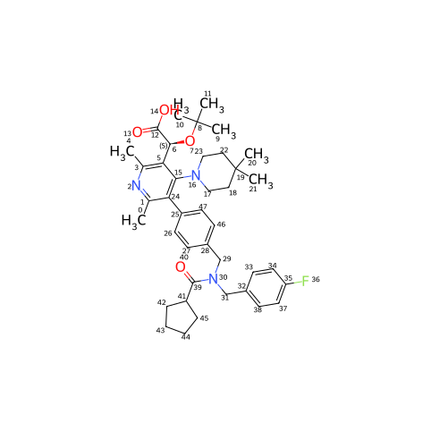 Cc1nc(C)c([C@H](OC(C)(C)C)C(=O)O)c(N2CCC(C)(C)CC2)c1-c1ccc(CN(Cc2ccc(F)cc2)C(=O)C2CCCC2)cc1